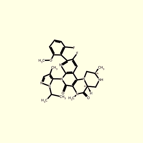 COc1cccc(F)c1-c1nc2c(cc1F)c1c(c(=O)n2-c2c(C)cnn2C(C)C)N(C)C(=O)[C@H]2CN[C@H](C)CN12